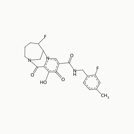 Cc1ccc(CNC(=O)c2cn3c(c(O)c2=O)C(=O)N2CCCC(F)C3C2)c(F)c1